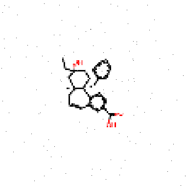 CC[C@@]1(O)CC[C@@]2(Cc3ccccc3)c3ccc(C(=O)O)cc3C=CC[C@H]2C1